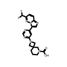 O=C(O)N1CCCC2(C1)CN(c1cc(-c3cnc4ccc(C(F)F)nn34)ncn1)C2